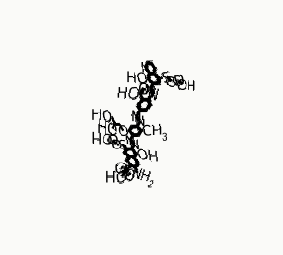 Cc1cc(/N=N/c2c(SOOO)cc3cc(S(=O)(=O)O)c(N)cc3c2O)c(OCC(O)CO)cc1/N=N/c1ccc(/N=N/c2cc(SOOO)c3cccnc3c2O)c(C(=O)O)c1